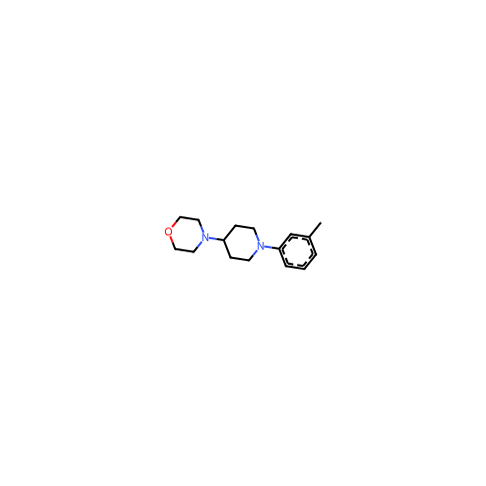 Cc1cccc(N2CCC(N3CCOCC3)CC2)c1